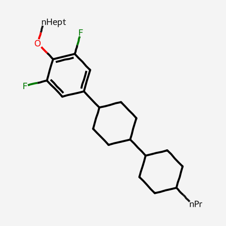 CCCCCCCOc1c(F)cc(C2CCC(C3CCC(CCC)CC3)CC2)cc1F